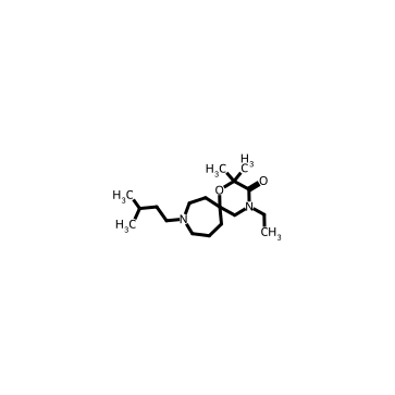 CCN1CC2(CCCN(CCC(C)C)CC2)OC(C)(C)C1=O